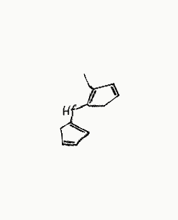 CC1=[C]([Hf][C]2=CC=CC2)CC=C1